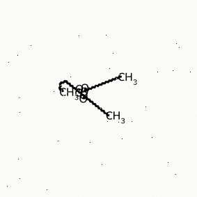 CC/C=C\C/C=C\C/C=C\CCCCCCCC(=O)O[C@H](COC(=O)CCCCCCCCCCCCCCCCC)COC(=O)CCCCCCCCCCCCCCCCCCCCC